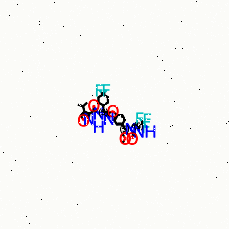 COC[C@H](c1ccc2oc([C@@H](NC(=O)c3nocc3C(C)C)C3CCC(F)(F)CC3)nc2c1)N1C[C@@H](C(F)(F)F)NC1=O